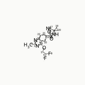 Cc1nc(OCC(F)F)c2cc(S(=O)(=O)NC3(C#N)CC3)ccc2n1